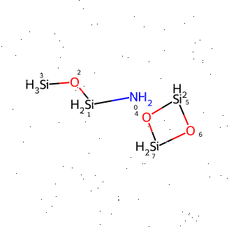 N[SiH2]O[SiH3].O1[SiH2]O[SiH2]1